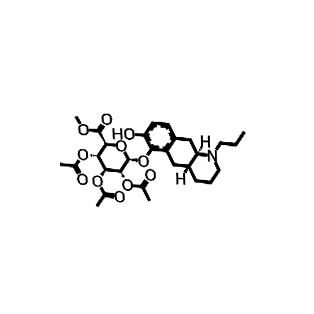 CCCN1CCC[C@@H]2Cc3c(ccc(O)c3O[C@@H]3O[C@H](C(=O)OC)[C@@H](OC(C)=O)[C@H](OC(C)=O)[C@H]3OC(C)=O)C[C@H]21